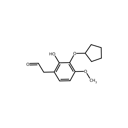 COc1ccc(CC=O)c(O)c1OC1CCCC1